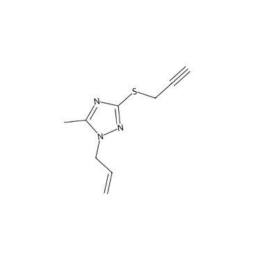 C#CCSc1nc(C)n(CC=C)n1